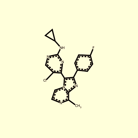 Cc1nccn2c(-c3nc(NC4CC4)ncc3Cl)c(-c3ccc(F)cc3)nc12